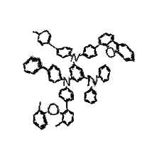 Cc1ccccc1Oc1c(C)cccc1-c1ccc(N(c2ccc(-c3ccccc3)cc2)c2cc(N(c3ccccc3)c3ccccc3)cc(N(c3ccc(C4=CCC(C)C=C4)cc3)c3ccc(-c4cccc5c4oc4ccccc45)cc3)c2)cc1